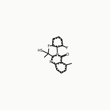 Cc1cccc2nc(C(C)(C)S)n(-c3c(F)cccc3F)c(=O)c12